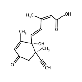 C#C[C@@]1(C)CC(=O)C=C(C)[C@@]1(O)/C=C/C(C)=C\C(=O)O